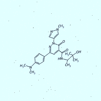 CC(NC(=O)c1cc(-c2ccc(N(C)C)cc2)nn(-c2cnn(C)c2)c1=O)C(C)(C)O